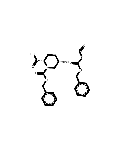 O=C(O)[C@@H]1CC[C@@H](O)CN1C(=O)OCc1ccccc1.O=COC(=O)OCc1ccccc1